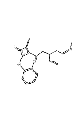 C=CC(C/C=N\C)CNc1c(Nc2ccccc2Cl)c(=O)c1=O